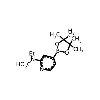 CCN(C(=O)O)c1cc(B2OC(C)(C)C(C)(C)O2)ccn1